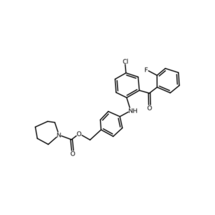 O=C(c1ccccc1F)c1cc(Cl)ccc1Nc1ccc(COC(=O)N2CCCCC2)cc1